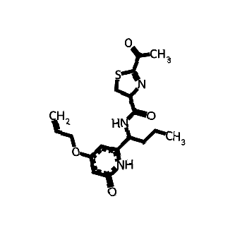 C=CCOc1cc(C(CCC)NC(=O)C2CSC(C(C)=O)=N2)[nH]c(=O)c1